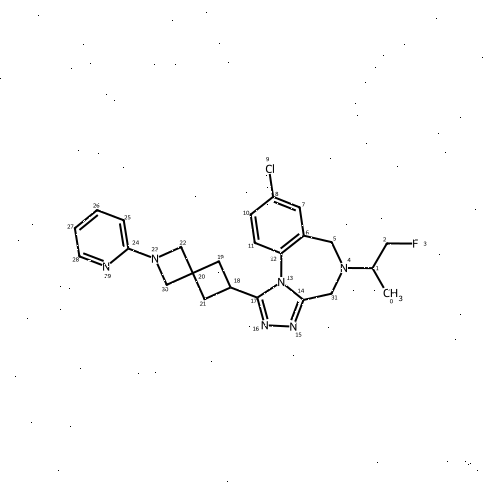 CC(CF)N1Cc2cc(Cl)ccc2-n2c(nnc2C2CC3(C2)CN(c2ccccn2)C3)C1